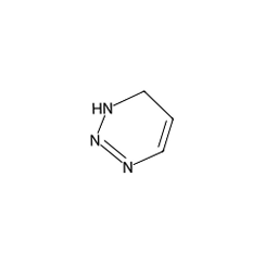 C1=CN=NNC1